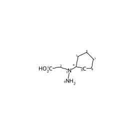 NN(CC(=O)O)C1CCCCC1